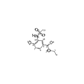 CCOC(=O)c1ccc([O])c(NS(C)(=O)=O)c1